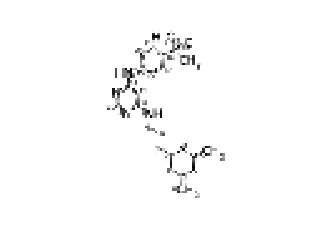 C=C1CC(C)CC(CCCNc2cc(Nc3ccc(P(C)(C)=O)cc3)ncn2)C1